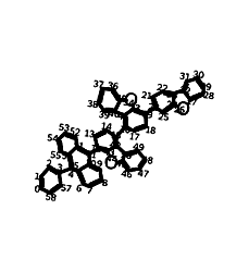 c1ccc(-c2c3ccccc3c(-c3ccc(-c4ccc(-c5ccc6c(c5)oc5ccccc56)c5oc6ccccc6c45)c4c3oc3ccccc34)c3ccccc23)cc1